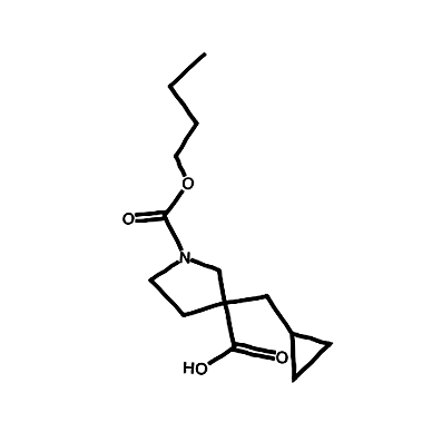 CCCCOC(=O)N1CCC(CC2CC2)(C(=O)O)C1